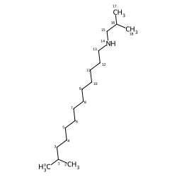 CC(C)CCCCCCCCCCCNCC(C)C